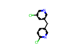 Clc1cncc([CH]c2ccc(Cl)nc2)c1